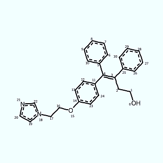 OCCC(=C(c1ccccc1)c1ccc(OCCn2ccnc2)cc1)c1ccccc1